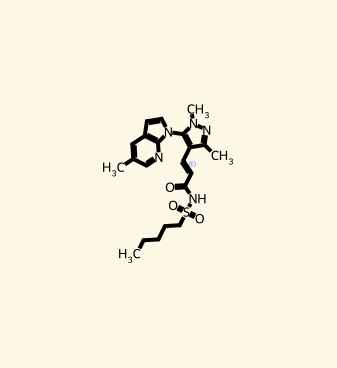 CCCCCS(=O)(=O)NC(=O)/C=C/c1c(C)nn(C)c1-n1ccc2cc(C)cnc21